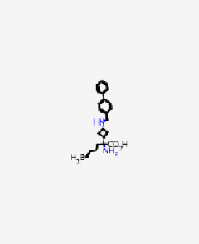 BCCCCC(N)(C(=O)O)[C@H]1C[C@@H](NCc2ccc(-c3ccccc3)cc2)C1